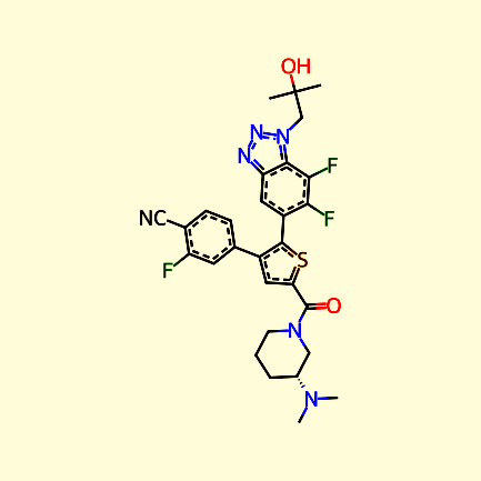 CN(C)[C@@H]1CCCN(C(=O)c2cc(-c3ccc(C#N)c(F)c3)c(-c3cc4nnn(CC(C)(C)O)c4c(F)c3F)s2)C1